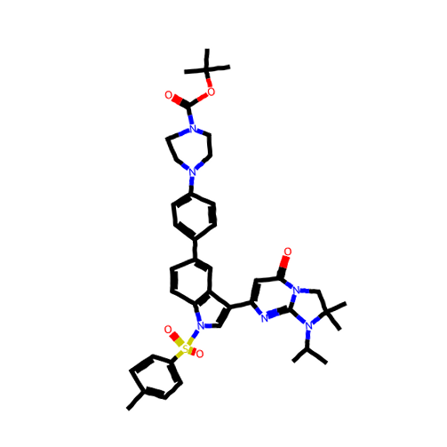 Cc1ccc(S(=O)(=O)n2cc(-c3cc(=O)n4c(n3)N(C(C)C)C(C)(C)C4)c3cc(-c4ccc(N5CCN(C(=O)OC(C)(C)C)CC5)cc4)ccc32)cc1